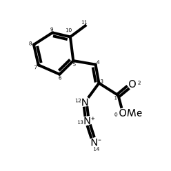 COC(=O)/C(=C/c1ccccc1C)N=[N+]=[N-]